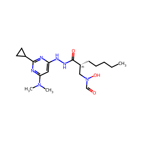 CCCCC[C@H](CN(O)C=O)C(=O)NNc1cc(N(C)C)nc(C2CC2)n1